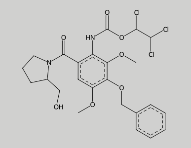 COc1cc(C(=O)N2CCCC2CO)c(NC(=O)OC(Cl)C(Cl)Cl)c(OC)c1OCc1ccccc1